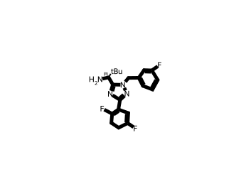 CC(C)(C)[C@@H](N)c1nc(C2=C(F)CCC(F)=C2)nn1Cc1cccc(F)c1